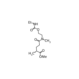 CCNC(=O)OCCN(C)C(=O)CC[C@H](C)C(=O)OC